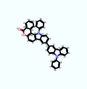 O=c1oc2ccc3c4cc(-c5ccc6c(c5)c5ccccc5n6-c5ccccc5)ccc4n(-c4ccccc4)c3c2c2ccccc12